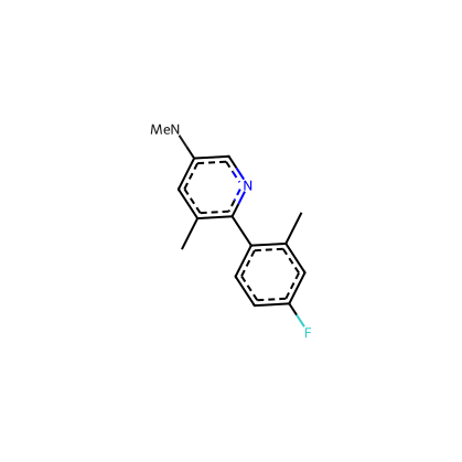 CNc1cnc(-c2ccc(F)cc2C)c(C)c1